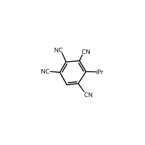 CC(C)c1c(C#N)cc(C#N)c(C#N)c1C#N